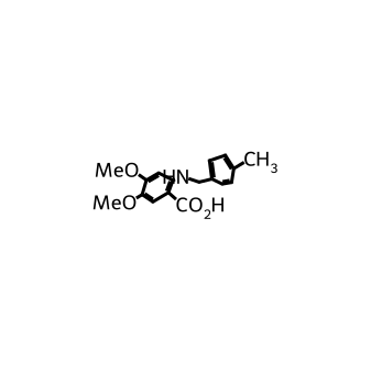 COc1cc(NCc2ccc(C)cc2)c(C(=O)O)cc1OC